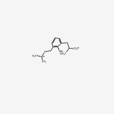 C[SiH](C)OCc1cccc(SC(C(=O)O)C(=O)O)c1C(C)(C)C